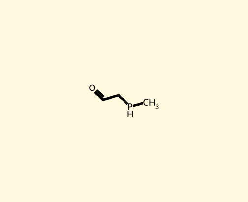 CPCC=O